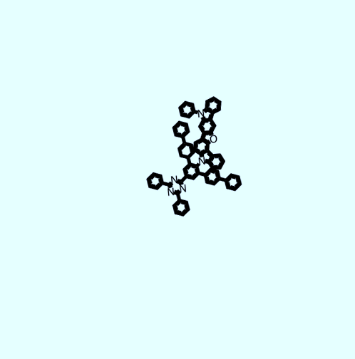 C1=CC(c2cc(-c3nc(-c4ccccc4)nc(-c4ccccc4)n3)cc(-c3ccc(-c4ccccc4)cc3)c2-n2c3ccccc3c3c4oc5cc6c7ccccc7n(-c7ccccc7)c6cc5c4ccc32)CC=C1c1ccccc1